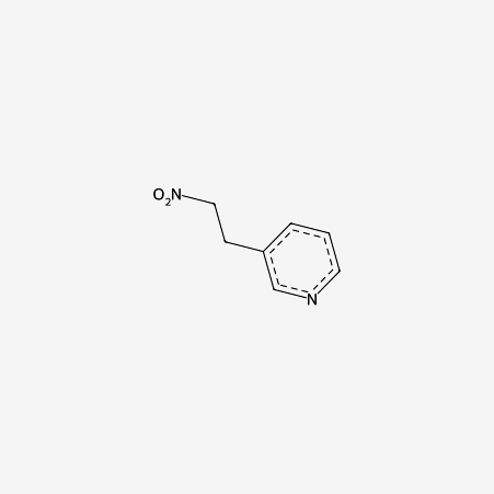 O=[N+]([O-])CCc1cccnc1